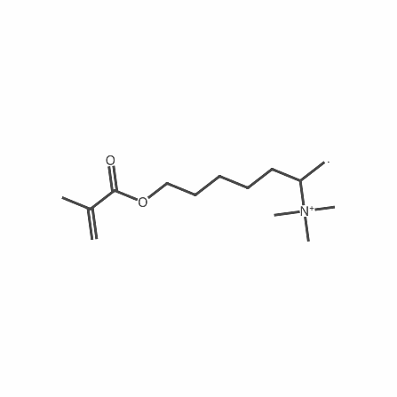 [CH2]C(CCCCCOC(=O)C(=C)C)[N+](C)(C)C